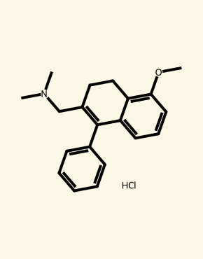 COc1cccc2c1CCC(CN(C)C)=C2c1ccccc1.Cl